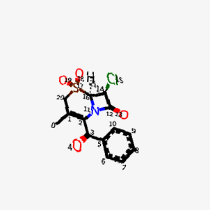 CC1=C(C(=O)c2ccccc2)N2C(=O)[C@H](Cl)[C@@H]2S(=O)(=O)C1